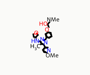 CNCC(O)COc1cccc(-c2nc(N[C@@H]3CCOC3)c(C)c(-c3ccc(OC)nc3)n2)c1